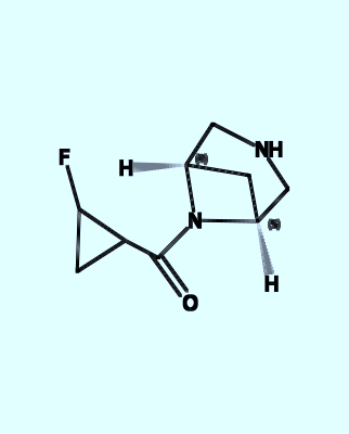 O=C(C1CC1F)N1[C@@H]2CNC[C@H]1C2